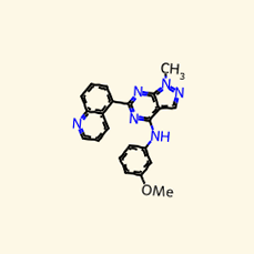 COc1cccc(Nc2nc(-c3cccc4ncccc34)nc3c2cnn3C)c1